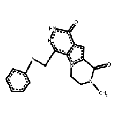 CN1CCn2c(cc3c(=O)[nH]nc(CSc4ccccc4)c32)C1=O